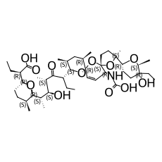 CCC(C(=O)[C@@H](C)[C@@H](O)[C@H](C)[C@@H]1O[C@@H]([C@@H](CC)C(=O)O)CC[C@@H]1C)[C@H]1O[C@]2(C=C[C@@H](NC(=O)O)[C@]3(CC[C@@](C)([C@H]4CC[C@](O)(CC)[C@H](C)O4)O3)O2)[C@H](C)C[C@@H]1C